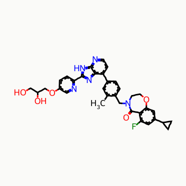 Cc1cc(-c2ccnc3[nH]c(-c4ccc(OCC(O)CO)cn4)nc23)ccc1CN1CCOc2cc(C3CC3)cc(F)c2C1=O